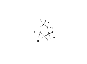 FC1(F)CC(F)(F)C(F)(F)C(F)(F)C1(F)F.I.I